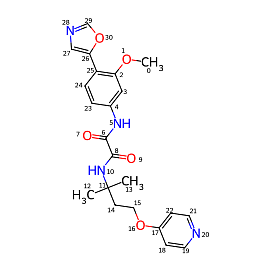 COc1cc(NC(=O)C(=O)NC(C)(C)CCOc2ccncc2)ccc1-c1cnco1